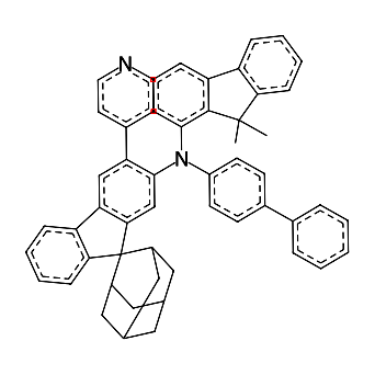 CC1(C)c2ccccc2-c2cccc(N(c3ccc(-c4ccccc4)cc3)c3cc4c(cc3-c3ccncc3)-c3ccccc3C43C4CC5CC(C4)CC3C5)c21